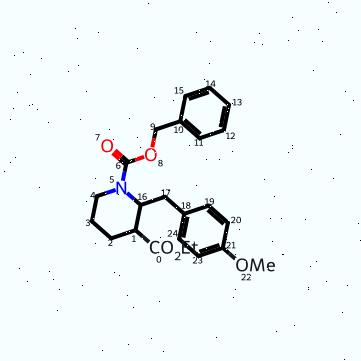 CCOC(=O)C1CCCN(C(=O)OCc2ccccc2)C1Cc1ccc(OC)cc1